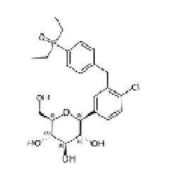 CCP(=O)(CC)c1ccc(Cc2cc([C@@H]3O[C@H](CO)[C@@H](O)[C@H](O)[C@H]3O)ccc2Cl)cc1